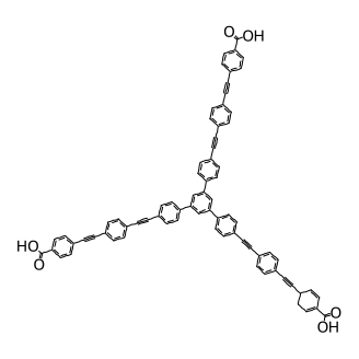 O=C(O)C1=CCC(C#Cc2ccc(C#Cc3ccc(-c4cc(-c5ccc(C#Cc6ccc(C#Cc7ccc(C(=O)O)cc7)cc6)cc5)cc(-c5ccc(C#Cc6ccc(C#Cc7ccc(C(=O)O)cc7)cc6)cc5)c4)cc3)cc2)C=C1